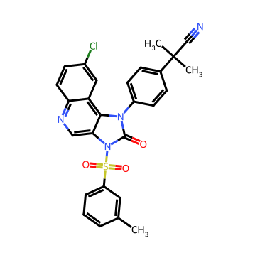 Cc1cccc(S(=O)(=O)n2c(=O)n(-c3ccc(C(C)(C)C#N)cc3)c3c4cc(Cl)ccc4ncc32)c1